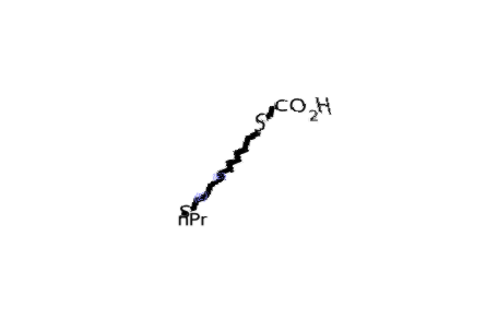 CCCSC/C=C/C/C=C/CCCCCCCSCCC(=O)O